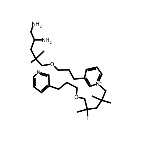 CC(C)(COCCCc1ccc[n+](CC(C)(C)CC(C)(I)COCCCc2cccnc2)c1)CC(N)CN